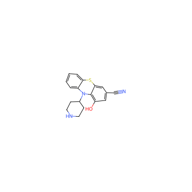 N#Cc1cc(O)c2c(c1)Sc1ccccc1N2C1CCNCC1